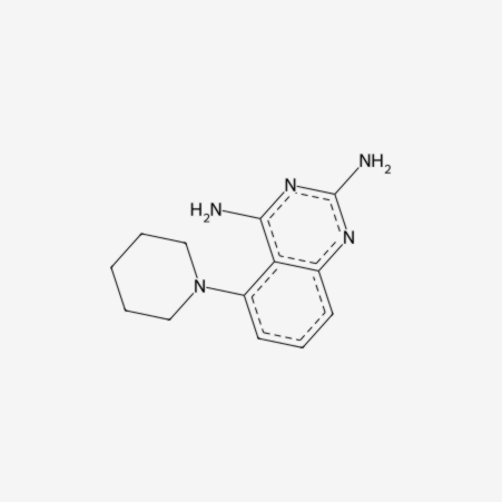 Nc1nc(N)c2c(N3CCCCC3)cccc2n1